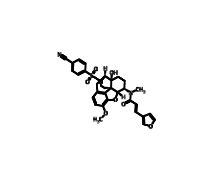 COc1ccc2c3c1O[C@H]1[C@H](N(C)C(=O)/C=C/c4ccoc4)CC[C@@]4(O)[C@@H](C2)N(S(=O)(=O)c2ccc(C#N)cc2)CC[C@]314